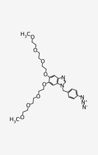 COCCOCCOCCOc1cc2ncn(Cc3ccc(N=[N+]=[N-])cc3)c2cc1OCCOCCOCCOC